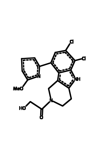 COc1cccc(-c2cc(Cl)c(Cl)c3[nH]c4c(c23)CN(C(=O)CO)CC4)n1